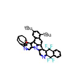 CC(C)(C)c1cc(C(C)(C)C)c2cc3c4c5c(ncc4n4c6cnc7c(c6c(c2c1)c34)C1CC2CC(CC7C2)C1)C(F)(F)c1ccccc1C5(F)F